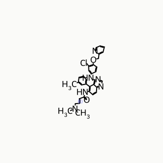 Cc1cccc(-c2c(NC(=O)/C=C/CN(C)C)ccc3ncnc(Nc4ccc(OCc5ccccn5)c(Cl)c4)c23)c1